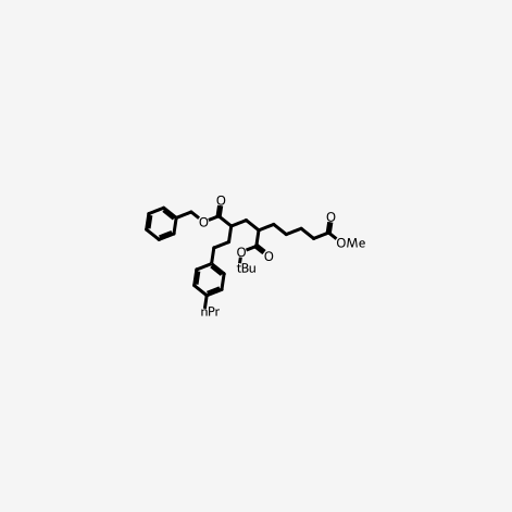 CCCc1ccc(CCC(CC(CCCCC(=O)OC)C(=O)OC(C)(C)C)C(=O)OCc2ccccc2)cc1